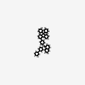 c1ccc(-c2ccc(N(c3ccc(-c4cccc5c4-c4ccccc4C5(c4ccccc4)c4ccccc4)cc3)c3cccc4ccccc34)cc2)cc1